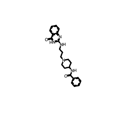 O=C(NC1CCN(CCCNc2nc3ccccc3c(=O)[nH]2)CC1)c1ccccc1